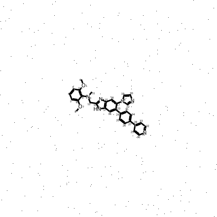 COc1cccc(OC)c1N(C)Cc1nc2cc(-n3ccnc3)c(-c3ccc(-c4ccncc4)cc3)cc2[nH]1